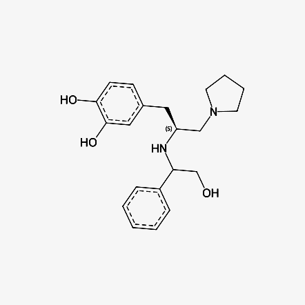 OCC(N[C@@H](Cc1ccc(O)c(O)c1)CN1CCCC1)c1ccccc1